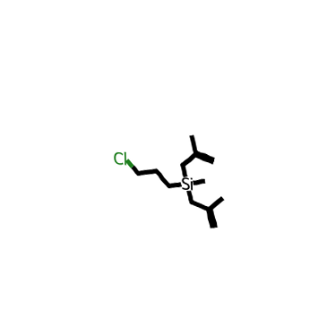 C=C(C)C[Si](C)(CCCCl)CC(=C)C